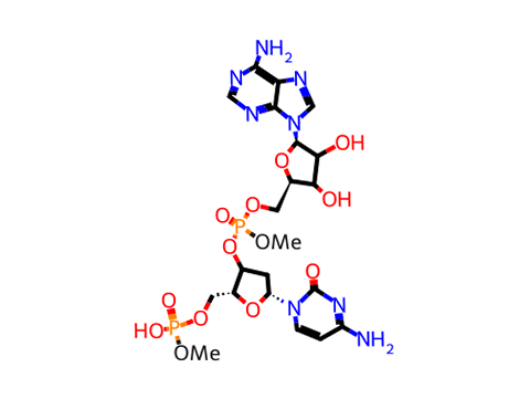 COP(=O)(O)OC[C@H]1O[C@@H](n2ccc(N)nc2=O)CC1OP(=O)(OC)OC[C@H]1O[C@@H](n2cnc3c(N)ncnc32)C(O)C1O